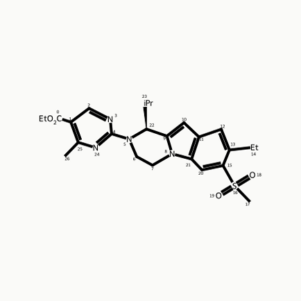 CCOC(=O)c1cnc(N2CCn3c(cc4cc(CC)c(S(C)(=O)=O)cc43)[C@@H]2C(C)C)nc1C